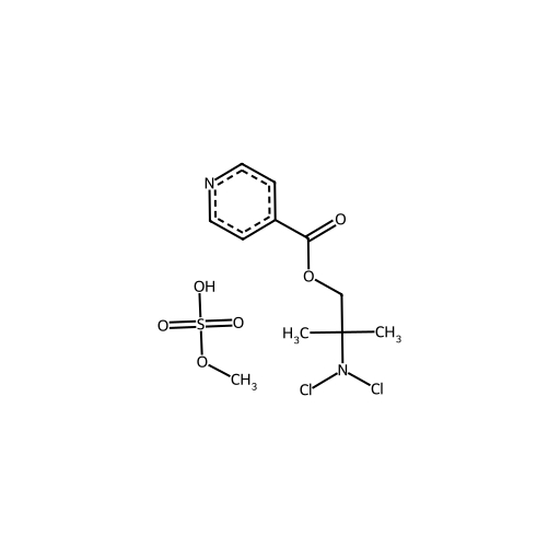 CC(C)(COC(=O)c1ccncc1)N(Cl)Cl.COS(=O)(=O)O